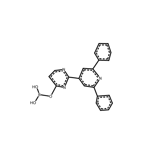 OB(O)Oc1ccnc(-c2cc(-c3ccccc3)nc(-c3ccccc3)c2)n1